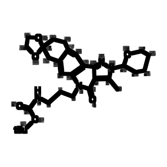 Cc1c2c(=O)n(CCCNC(=O)OC(C)(C)C)c3cc4c(cc3c2nn1C1CCCCO1)CCC1(C4)OCCO1